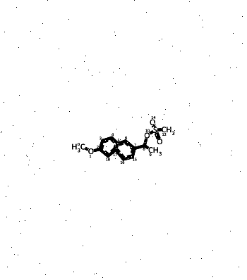 COc1ccc2cc(C(C)OS(C)(=O)=O)ccc2c1